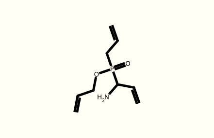 C=CCOP(=O)(CC=C)C(N)C=C